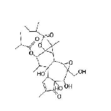 CCC(C)C(=O)OC12C(OC(=O)C(C)C)C(C)C3(O)C(C4OC4(CO)C(O)C4(O)C(=O)C(C)=CC43)C1C2(C)C